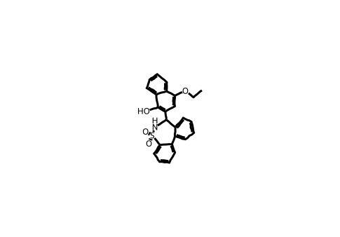 CCOc1cc(C2NS(=O)(=O)c3ccccc3-c3ccccc32)c(O)c2ccccc12